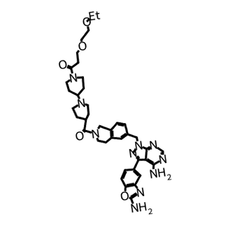 CCOCCOCCC(=O)N1CCC(N2CCC(C(=O)N3CCc4cc(Cn5nc(-c6ccc7oc(N)nc7c6)c6c(N)ncnc65)ccc4C3)CC2)CC1